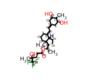 C=C1[C@H](O)CC(=C/C=C2\CCC[C@]3(C)[C@@H]([C@H](C)OC(=O)CCC(C)(O)C(F)(F)F)CC[C@@H]23)C[C@H]1O